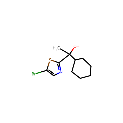 CC(O)(c1ncc(Br)s1)C1CCCCC1